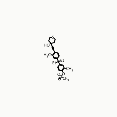 CCC(CC)(c1ccc(C#CC2(O)CCSCC2)c(C)c1)c1ccc(OS(=O)(=O)C(F)(F)F)c(C)c1